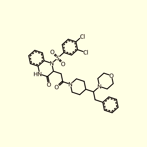 O=C1Nc2ccccc2N(S(=O)(=O)c2ccc(Cl)c(Cl)c2)C1CC(=O)N1CCC(C(Cc2ccccc2)N2CCOCC2)CC1